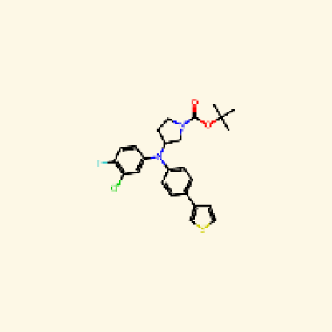 CC(C)(C)OC(=O)N1CCC(N(c2ccc(-c3ccsc3)cc2)c2ccc(F)c(Cl)c2)C1